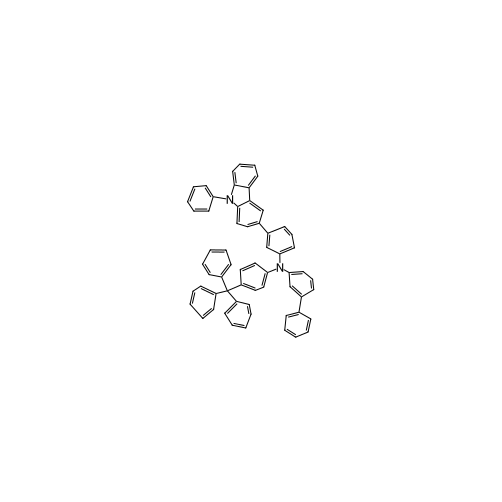 c1ccc(-c2cccc(N(c3ccc(C(c4ccccc4)(c4ccccc4)c4ccccc4)cc3)c3cccc(-c4ccc5c(c4)c4ccccc4n5-c4ccccc4)c3)c2)cc1